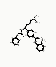 CN(C)CCCC(NC(=O)Nc1cccnc1)c1ccc(C(=O)Nc2ccccc2N)nc1